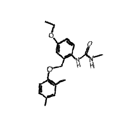 CCOc1ccc(NC(=O)NC)c(COc2ccc(C)cc2C)c1